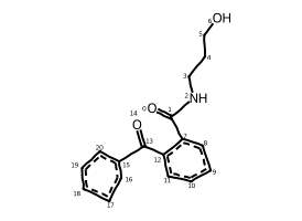 O=C(NCCCO)c1ccccc1C(=O)c1ccccc1